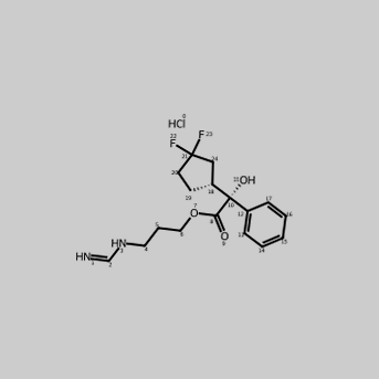 Cl.N=CNCCCOC(=O)[C@](O)(c1ccccc1)[C@@H]1CCC(F)(F)C1